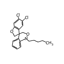 CCCCCN1OCC2(COc3cc(Cl)c(Cl)cc32)c2ccccc21